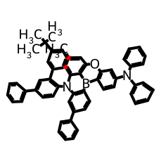 Cc1cc2c3c(c1)N(c1ccc(-c4ccccc4)cc1-c1cccc(C(C)(C)C)c1)c1cc(-c4ccccc4)ccc1B3c1ccc(N(c3ccccc3)c3ccccc3)cc1O2